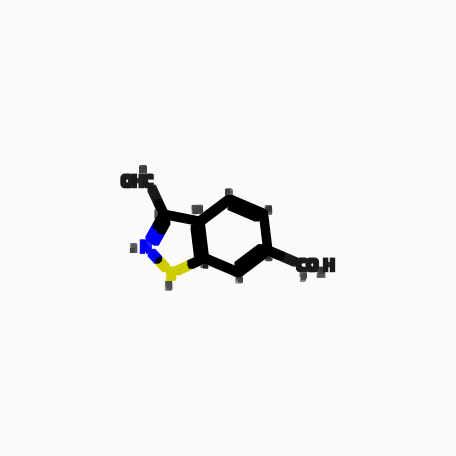 O=Cc1nsc2cc(C(=O)O)ccc12